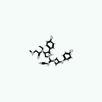 CCN(C(=O)COC)C1CN(/C(=N\C#N)N2CC(Oc3ccc(Cl)cc3)C2)N=C1c1ccc(Cl)cc1